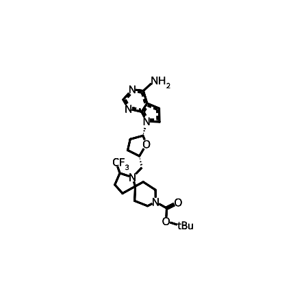 CC(C)(C)OC(=O)N1CCC2(CCC(C(F)(F)F)N2C[C@@H]2CC[C@H](n3ccc4c(N)ncnc43)O2)CC1